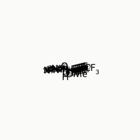 COC(=O)C(CCC(F)(F)C(F)(F)C(F)(F)C(F)(F)C(F)(F)C(F)(F)C(F)(F)C(F)(F)F)CNC(=O)c1ccc(/N=N/c2ccc(N(C)C)cc2)cc1